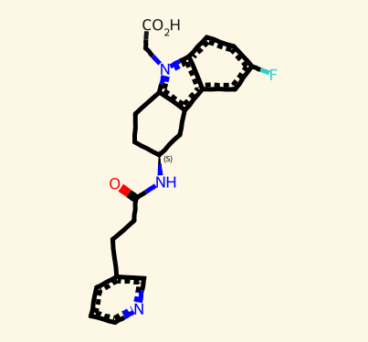 O=C(O)Cn1c2c(c3cc(F)ccc31)C[C@@H](NC(=O)CCc1cccnc1)CC2